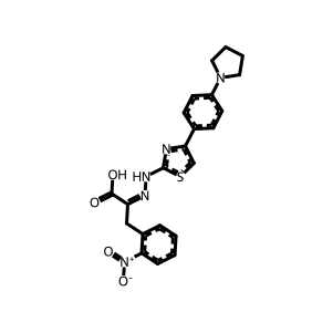 O=C(O)C(Cc1ccccc1[N+](=O)[O-])=NNc1nc(-c2ccc(N3CCCC3)cc2)cs1